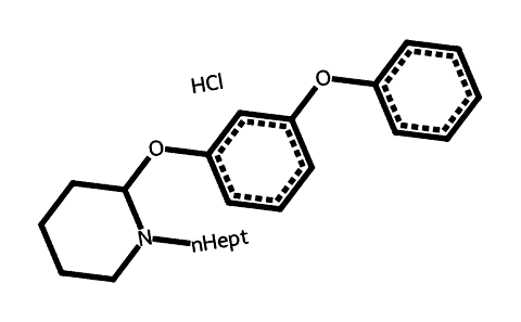 CCCCCCCN1CCCCC1Oc1cccc(Oc2ccccc2)c1.Cl